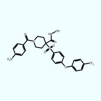 O=C(c1ccc([N+](=O)[O-])cc1)N1CCC(C(=O)NO)(S(=O)(=O)c2ccc(Oc3ccc(C(F)(F)F)cc3)cc2)CC1